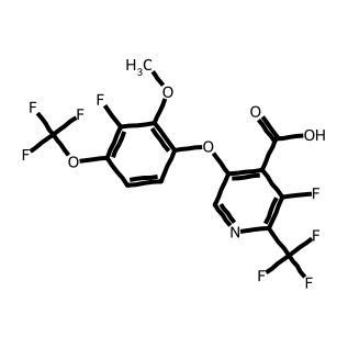 COc1c(Oc2cnc(C(F)(F)F)c(F)c2C(=O)O)ccc(OC(F)(F)F)c1F